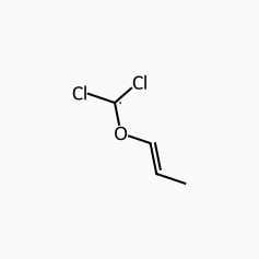 CC=CO[C](Cl)Cl